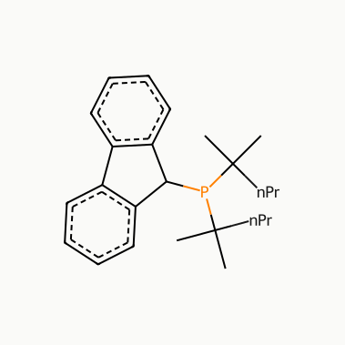 CCCC(C)(C)P(C1c2ccccc2-c2ccccc21)C(C)(C)CCC